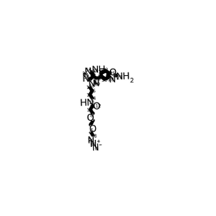 [N-]=[N+]=NCCOCCOCCC(=O)NCCCCn1nc(-c2ccc3oc(N)nc3c2)c2c(N)ncnc21